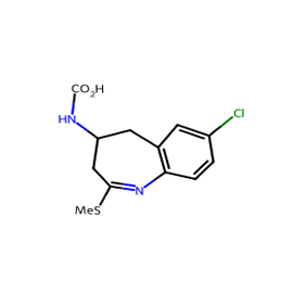 CSC1=Nc2ccc(Cl)cc2CC(NC(=O)O)C1